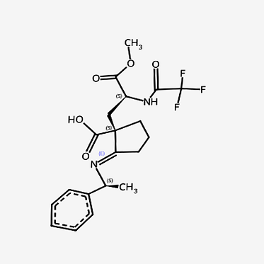 COC(=O)[C@H](C[C@@]1(C(=O)O)CCC/C1=N\[C@@H](C)c1ccccc1)NC(=O)C(F)(F)F